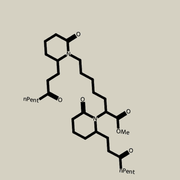 CCCCCC(=O)CCC1CCCC(=O)N1CCCCCC(C(=O)OC)N1C(=O)CCCC1CCC(=O)CCCCC